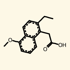 CCc1ccc2c(OC)cccc2c1CC(=O)O